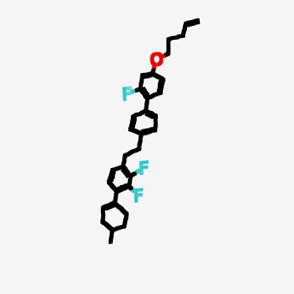 C=CCCCOc1ccc(-c2ccc(CCc3ccc(C4=CCC(C)CC4)c(F)c3F)cc2)c(F)c1